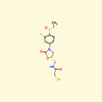 CC[S+]([O-])c1ccc(N2C[C@H](CNC(=O)CS)OC2=O)cc1F